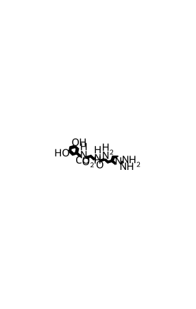 N=C(N)N1CC=C(CC(N)C(=O)NCCC(=O)NC(C(=O)O)c2cc(O)cc(O)c2)C1